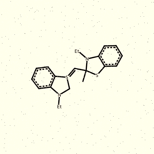 CCN1CS(=CC2(C)Sc3ccccc3N2CC)c2ccccc21